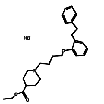 CCOC(=O)C1CCN(CCCCOc2ccccc2CCc2ccccc2)CC1.Cl